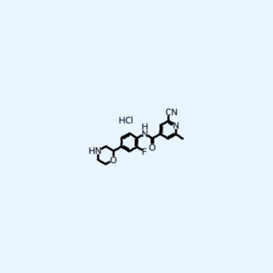 Cc1cc(C(=O)Nc2ccc(C3CNCCO3)cc2F)cc(C#N)n1.Cl